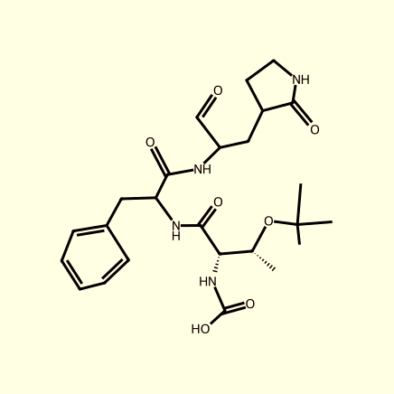 C[C@@H](OC(C)(C)C)[C@H](NC(=O)O)C(=O)NC(Cc1ccccc1)C(=O)NC(C=O)CC1CCNC1=O